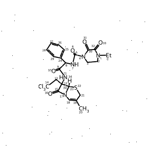 CCN1CCN(C(=O)NC(C(=O)NC2(CC(Cl)(Cl)Cl)C(=O)N3C=C(C)CS[C@H]32)c2ccccc2)C(=O)C1=O